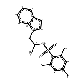 Cc1cc(C)c(S(=O)(=O)NC(Cn2ccc3cccnc32)C(C)C)c(C)c1